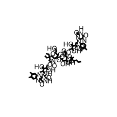 CCCCC(C)(CC)OC1C(C(=O)OCC(O)C(O)C(O)Cn2c3nc(=O)[nH]c(=O)c-3nc3cc(C)c(C)cc32)OC(O[C@H]2C(O)C(CO)O[C@H](C(C)(CC)CC)C2N(C=O)C(C)OCC(O)C(O)C(O)Cn2c3nc(=O)[nH]c(=O)c-3nc3cc(C)c(C)cc32)C(O)C1O